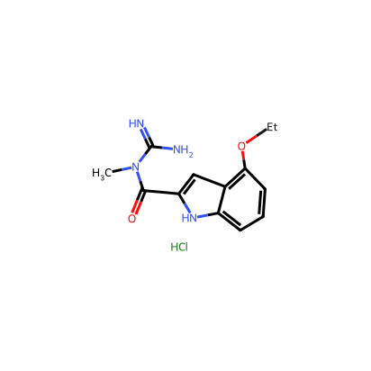 CCOc1cccc2[nH]c(C(=O)N(C)C(=N)N)cc12.Cl